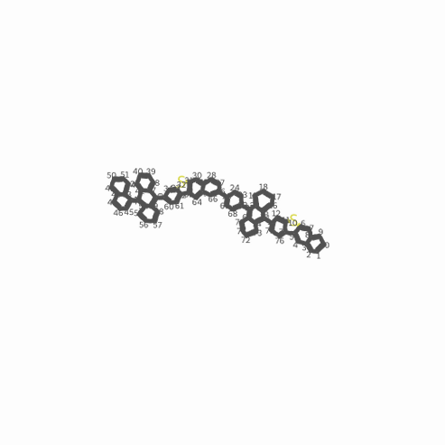 c1ccc2cc3c(cc2c1)sc1cc(-c2c4ccccc4c(-c4ccc(-c5ccc6cc7sc8cc(-c9c%10ccccc%10c(-c%10cccc%11ccccc%10%11)c%10ccccc9%10)ccc8c7cc6c5)cc4)c4ccccc24)ccc13